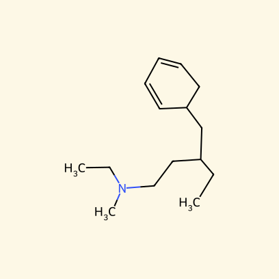 CCC(CCN(C)CC)CC1C=CC=CC1